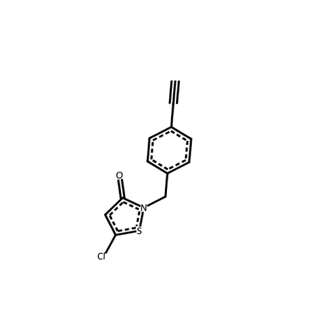 C#Cc1ccc(Cn2sc(Cl)cc2=O)cc1